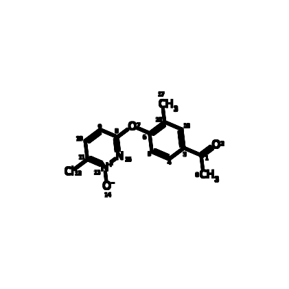 CC(=O)c1ccc(Oc2ccc(Cl)[n+]([O-])n2)c(C)c1